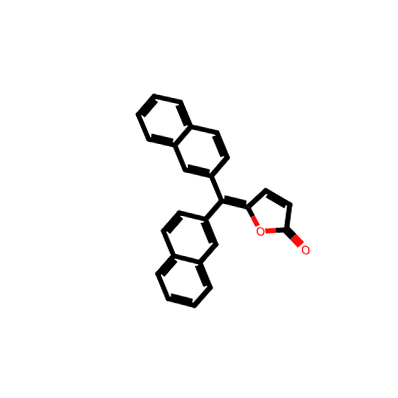 O=C1C=CC(=C(c2ccc3ccccc3c2)c2ccc3ccccc3c2)O1